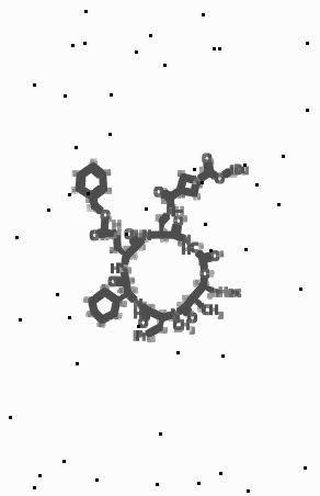 CCCCCC[C@@H]1OC(=O)CNC(=O)[C@H](CNC(=O)C2CN(C(=O)OC(C)(C)C)C2)NC(=O)[C@H](CNC(=O)OCc2ccccc2)NC(=O)[C@H](C2CCCCC2)NC(=O)[C@H](CC(C)C)N(C)C(=O)[C@@H]1C